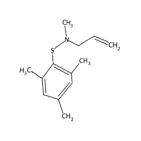 C=CCN(C)Sc1c(C)cc(C)cc1C